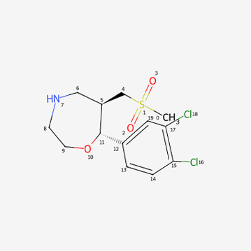 CS(=O)(=O)C[C@@H]1CNCCO[C@H]1c1ccc(Cl)c(Cl)c1